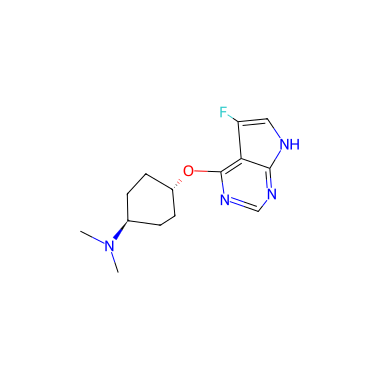 CN(C)[C@H]1CC[C@H](Oc2ncnc3[nH]cc(F)c23)CC1